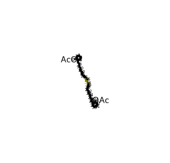 CC(=O)Oc1ccccc1CCCCCCCC#CCSCC#CCCCCCCCc1ccccc1OC(C)=O